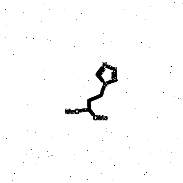 COC(CCn1[c]nnc1)OC